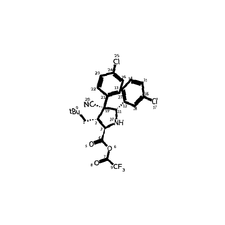 CC(C)(C)C[C@H]1[C@H](C(=O)OC(=O)C(F)(F)F)N[C@@H](c2cccc(Cl)c2)[C@]1(C#N)c1ccc(Cl)cc1